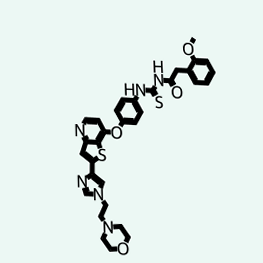 COc1ccccc1CC(=O)NC(=S)Nc1ccc(Oc2ccnc3cc(-c4cn(CCN5CCOCC5)cn4)sc23)cc1